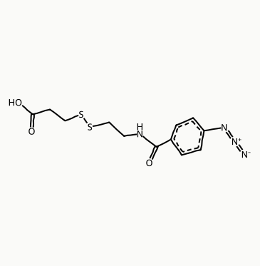 [N-]=[N+]=Nc1ccc(C(=O)NCCSSCCC(=O)O)cc1